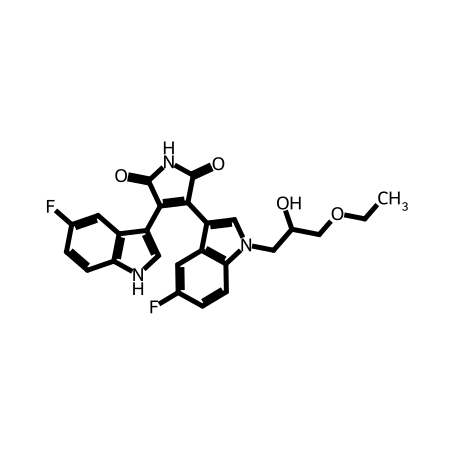 CCOCC(O)Cn1cc(C2=C(c3c[nH]c4ccc(F)cc34)C(=O)NC2=O)c2cc(F)ccc21